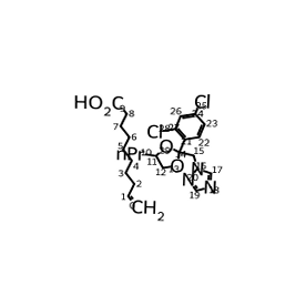 C=CCCCCCCCC(=O)O.CCCC1COC(Cn2cncn2)(c2ccc(Cl)cc2Cl)O1